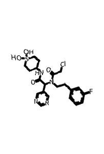 O=C(NC1CCS(O)(O)CC1)C(c1cncnc1)N(CCc1cccc(F)c1)C(=O)CCl